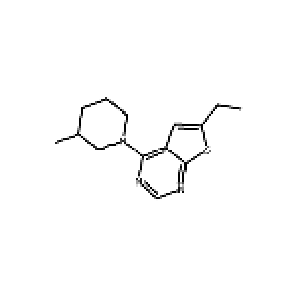 CCc1cc2c(N3CCCC(C)C3)ncnc2s1